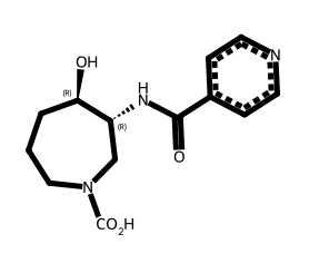 O=C(N[C@@H]1CN(C(=O)O)CCC[C@H]1O)c1ccncc1